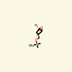 CC(C)(C)[Si](C)(C)OC[C@H]1C[C@H]2OC12